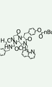 CCCCC(=O)Oc1ccc(C[C@H]2C(=O)N(Cc3cccc4cccnc34)[C@@H](C)C3N2C(=O)CN(C)N3C(=O)NCc2ccccc2)cc1